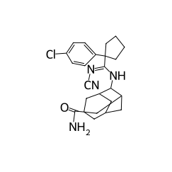 N#C/N=C(\NC1C2CC3CC1CC(C(N)=O)(C3)C2)C1(c2ccc(Cl)cc2)CCCC1